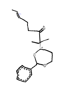 C/C=C/CCC(=O)C(C)(C)[C@@H]1CCOC(c2ccccc2)O1